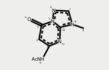 CC(=O)Nc1cc(=O)n2ncn(C)c2n1